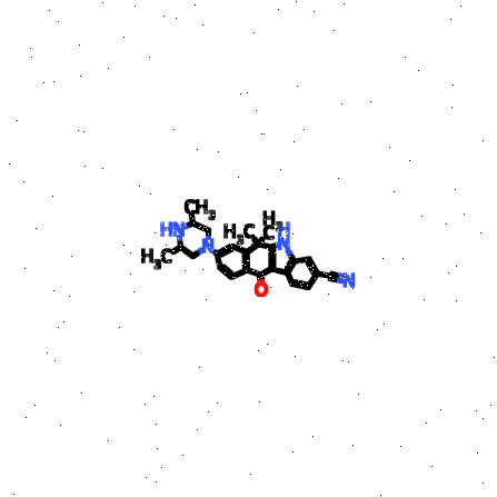 CC1CN(c2ccc3c(c2)C(C)(C)c2[nH]c4cc(C#N)ccc4c2C3=O)CC(C)N1